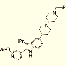 COc1cc(-c2[nH]c3ccc(C4CCN(C5CCN(CC(C)C)CC5)CC4)cc3c2C(C)C)ccn1